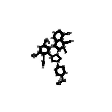 Cn1c([C@@H]2C[C@H](c3ccc(NO)cc3)CN2c2nc(N)nc(N)c2C#N)nc2cccc(Cl)c2c1=O